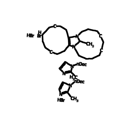 Br.Br.Br.CC1N2CCCCCCCCCCN1C1=C2CCCCCCCCCC1.CCCCCCCCCCn1ccnc1C.CCCCCCCCCCn1ccnc1C